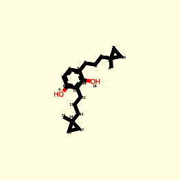 CC1(CCCc2ccc(O)c(CCCC3(C)CC3)c2O)CC1